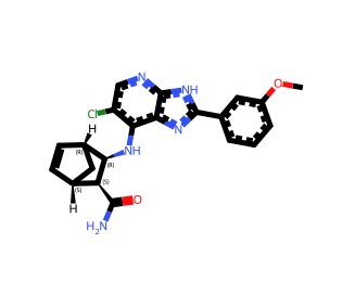 COc1cccc(-c2nc3c(N[C@H]4[C@@H](C(N)=O)[C@@H]5C=C[C@H]4C5)c(Cl)cnc3[nH]2)c1